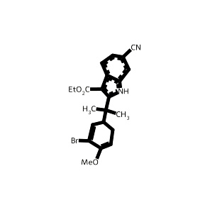 CCOC(=O)c1c(C(C)(C)C2C=C(Br)C(OC)=CC2)[nH]c2cc(C#N)ccc12